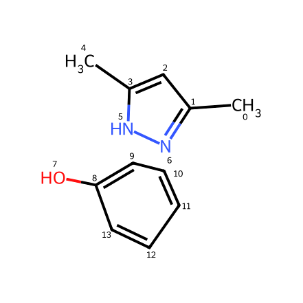 Cc1cc(C)[nH]n1.Oc1ccccc1